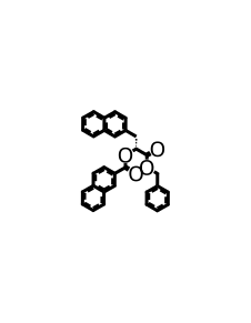 O=C(O[C@H](Cc1ccc2ccccc2c1)C(=O)OCc1ccccc1)c1ccc2ccccc2c1